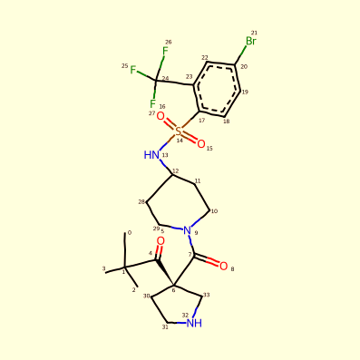 CC(C)(C)C(=O)[C@]1(C(=O)N2CCC(NS(=O)(=O)c3ccc(Br)cc3C(F)(F)F)CC2)CCNC1